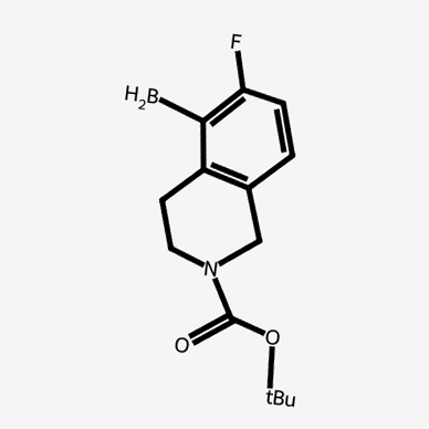 Bc1c(F)ccc2c1CCN(C(=O)OC(C)(C)C)C2